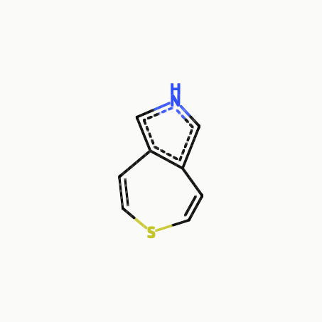 C1=Cc2c[nH]cc2C=CS1